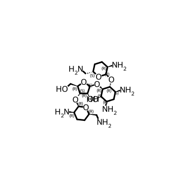 NC[C@@H]1CC[C@@H](N)[C@@H](O[C@H]2[C@H](O[C@@H]3O[C@H](CO)[C@@H](O[C@H]4O[C@@H](CN)CC[C@H]4N)[C@H]3O)[C@@H](O)[C@H](N)C[C@@H]2N)O1